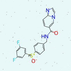 O=C(NCc1ccc([S@+]([O-])c2cc(F)cc(F)c2)cc1)c1ccc2nccn2c1